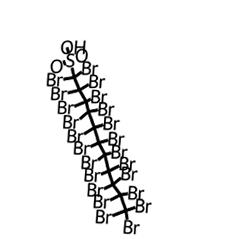 O=S(=O)(O)C(Br)(Br)C(Br)(Br)C(Br)(Br)C(Br)(Br)C(Br)(Br)C(Br)(Br)C(Br)(Br)C(Br)(Br)C(Br)(Br)C(Br)(Br)C(Br)(Br)Br